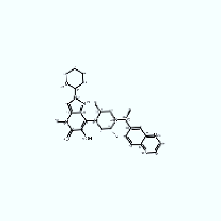 C[C@@H]1CN(c2c(O)c(=O)n(C)c3cn(C4CCCCO4)nc23)[C@@H](C)CN1[C@@H](C)c1ccc2nccnc2c1